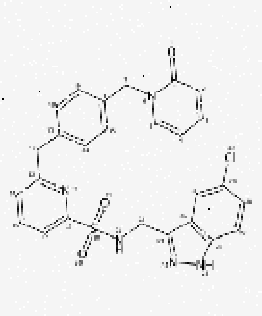 O=c1ccccn1Cc1ccc(Cc2cccc(S(=O)(=O)NCc3n[nH]c4ccc(Cl)cc34)n2)cc1